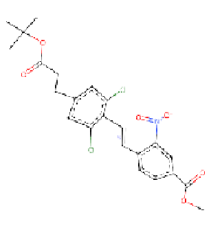 COC(=O)c1ccc(/C=C/c2c(Cl)cc(CCC(=O)OC(C)(C)C)cc2Cl)c([N+](=O)[O-])c1